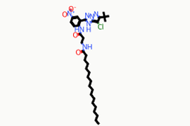 CCCCCCCCCCCCCCCCCC(=O)NCCC(=O)Nc1ccc([N+](=O)[O-])cc1-c1nn2nc(C(C)(C)C)c(Cl)c2[nH]1